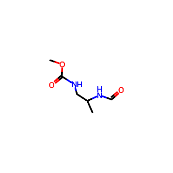 COC(=O)NCC(C)NC=O